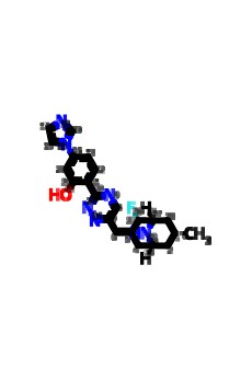 C[C@@H]1C[C@H]2C/C(=C/c3cnc(-c4ccc(-n5ccnc5)cc4O)nn3)[C@@H](F)[C@@H](C1)N2